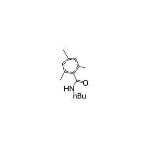 CCCCNC(=O)c1c(C)cc(C)cc1C